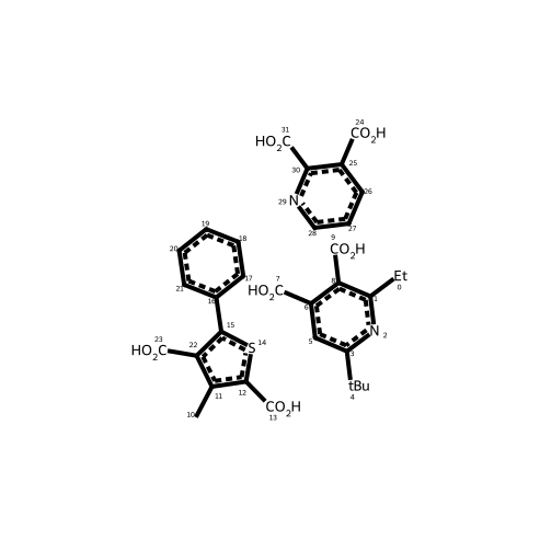 CCc1nc(C(C)(C)C)cc(C(=O)O)c1C(=O)O.Cc1c(C(=O)O)sc(-c2ccccc2)c1C(=O)O.O=C(O)c1cccnc1C(=O)O